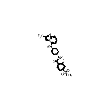 CS(=O)(=O)c1ccc(C(=O)N[C@H]2CC[C@@H](Nc3cccc4nc(C(F)(F)F)cn34)CC2)c(Cl)c1